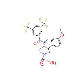 COc1ccc(C2CN(C(=O)O)CCC2N(C)C(=O)c2cc(C(F)(F)F)cc(C(F)(F)F)c2)cc1